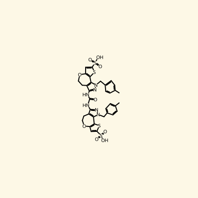 Cc1ccc(Cn2nc(NC(=O)Nc3nn(Cc4ccc(C)cc4)c4c3CCOc3cc(S(=O)(=O)O)sc3-4)c3c2-c2sc(S(=O)(=O)O)cc2OCC3)cc1